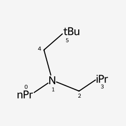 CCCN(CC(C)C)CC(C)(C)C